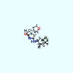 CC1([C@@H]2CCOC2)SC(N[C@H]2C[C@H]3C[C@@H]2CC3(F)F)=NC1=O